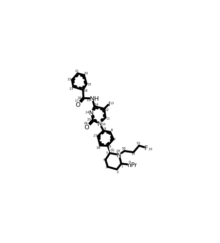 CCCC1CCC[C@@H](c2ccc(-n3cc(I)c(NC(=O)c4ccccc4)nc3=O)cc2)N1CCCF